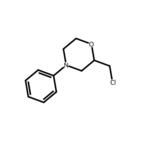 ClCC1CN(c2ccccc2)CCO1